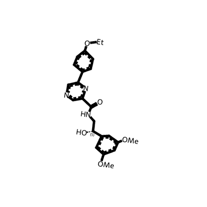 CCOc1ccc(-c2cncc(C(=O)NC[C@@H](O)c3cc(OC)cc(OC)c3)n2)cc1